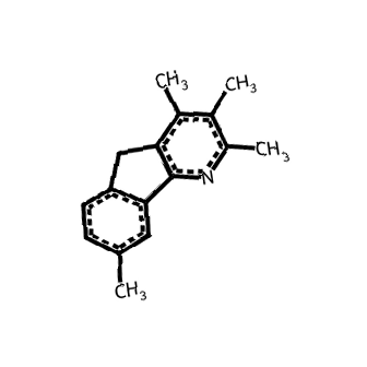 Cc1ccc2c(c1)-c1nc(C)c(C)c(C)c1C2